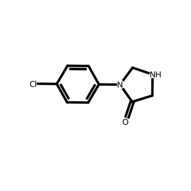 O=C1CNCN1c1ccc(Cl)cc1